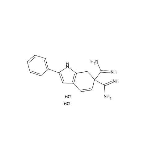 Cl.Cl.N=C(N)C1(C(=N)N)C=Cc2cc(-c3ccccc3)[nH]c2C1